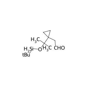 CC(C)(C)[SiH2]OC(C)(C)C1(CC=O)CC1